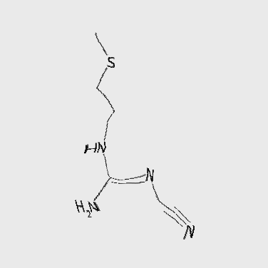 CSCCNC(N)=NC#N